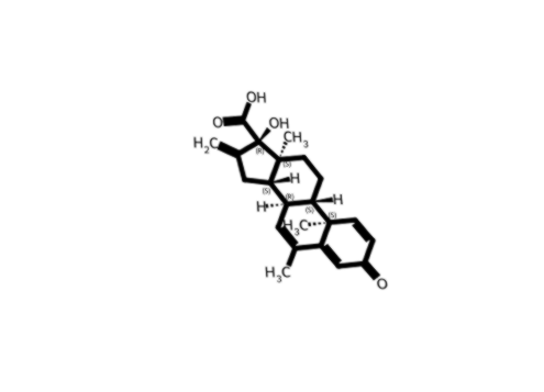 C=C1C[C@H]2[C@@H]3C=C(C)C4=CC(=O)C=C[C@]4(C)[C@H]3CC[C@]2(C)[C@@]1(O)C(=O)O